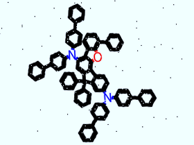 c1ccc(-c2ccc(N(c3ccc(-c4ccccc4)cc3)c3ccc4c(c3)C(c3ccccc3)(c3ccccc3)c3cc(N(c5ccc(-c6ccccc6)cc5)c5ccc(-c6ccccc6)cc5)c5c(oc6c(-c7ccccc7)cccc65)c3-4)cc2)cc1